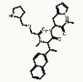 CNC(=O)C(Cc1cccs1)NC(=O)C(C(C)c1ccc2ccccc2c1)N(C)C(=O)COCC1CCCN1